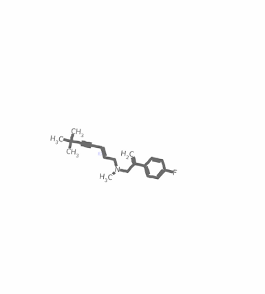 C=C(CN(C)C/C=C/C#CC(C)(C)C)c1ccc(F)cc1